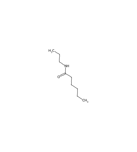 CCCCCC(=O)NCCC